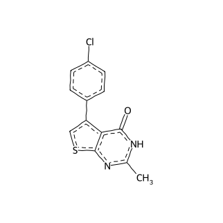 Cc1nc2scc(-c3ccc(Cl)cc3)c2c(=O)[nH]1